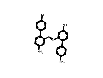 Nc1ccc(-c2ccc(N)cc2N=Nc2cc(N)ccc2-c2ccc(N)cc2)cc1